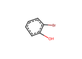 Oc1[c]cccc1Br